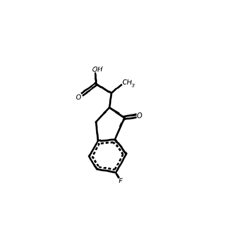 CC(C(=O)O)C1Cc2ccc(F)cc2C1=O